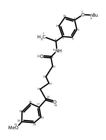 CCCCOc1ccc(C(C)NC(=O)CCCCC(=O)c2ccc(OC)cc2)cc1